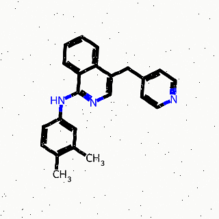 Cc1ccc(Nc2ncc(Cc3ccncc3)c3ccccc23)cc1C